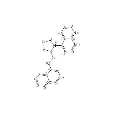 c1ccc2c(OCC3CCCN3c3ncnc4ncccc34)cccc2c1